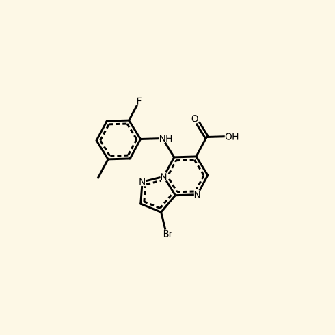 Cc1ccc(F)c(Nc2c(C(=O)O)cnc3c(Br)cnn23)c1